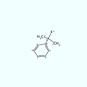 CC(C)(F)c1ccccc1